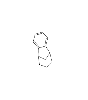 c1ccc2c(c1)C1CCCC2C1